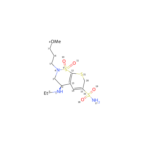 CCN[C@H]1CN(CCCOC)S(=O)(=O)C2=C1C=C(S(N)(=O)=O)CS2